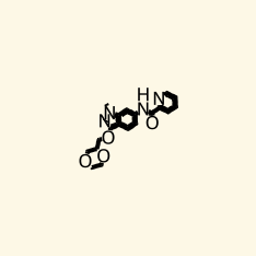 Cn1nc(OCC2COCCO2)c2ccc(NC(=O)c3ccccn3)cc21